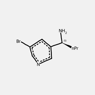 CCC[C@H](N)c1cncc(Br)c1